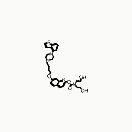 O=C(Oc1ccc2ccc(OCCCCN3CCN(c4cccc5sccc45)CC3)cc2n1)N(CCO)CCO